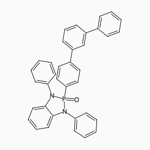 O=P1(c2ccc(-c3cccc(-c4ccccc4)c3)cc2)N(c2ccccc2)c2ccccc2N1c1ccccc1